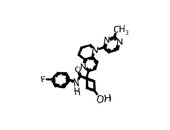 Cc1nccc(N2CCCc3nc(C4(C(=O)Nc5ccc(F)cc5)CC(O)C4)ccc32)n1